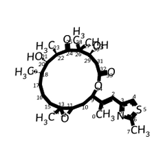 C/C(=C\c1csc(C)n1)C1CC2OC2(C)CCC[C@H](C)[C@H](O)[C@@H](C)C(=O)C(C)(C)[C@@H](O)CC(=O)O1